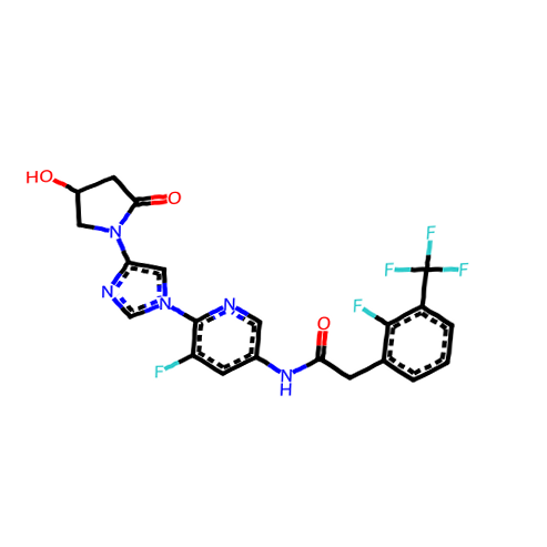 O=C(Cc1cccc(C(F)(F)F)c1F)Nc1cnc(-n2cnc(N3CC(O)CC3=O)c2)c(F)c1